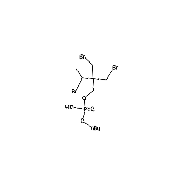 CCCCOP(=O)(O)OCC(CBr)(CBr)C(C)Br